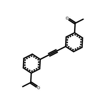 CC(=O)c1cccc(C#Cc2cccc(C(C)=O)c2)c1